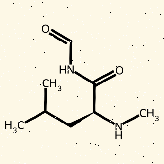 CN[C@@H](CC(C)C)C(=O)NC=O